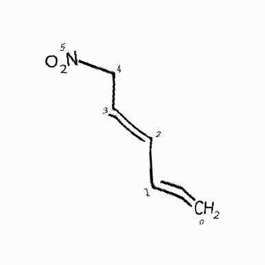 C=CC=CC[N+](=O)[O-]